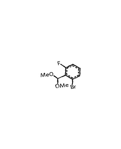 COC(OC)c1c(F)cccc1Br